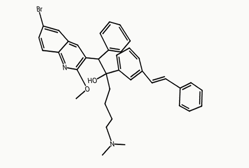 COc1nc2ccc(Br)cc2cc1C(c1ccccc1)C(O)(CCCCN(C)C)c1cccc(/C=C/c2ccccc2)c1